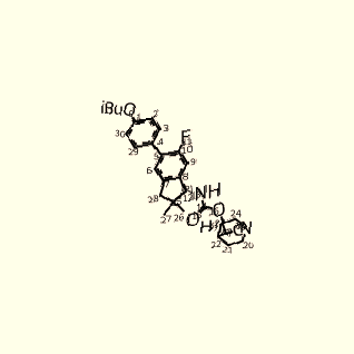 CC(C)COc1ccc(-c2cc3c(cc2F)[C@H](NC(=O)O[C@H]2CN4CCC2CC4)C(C)(C)C3)cc1